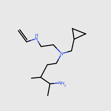 C=CNCCN(CCC(C)C(C)N)CC1CC1